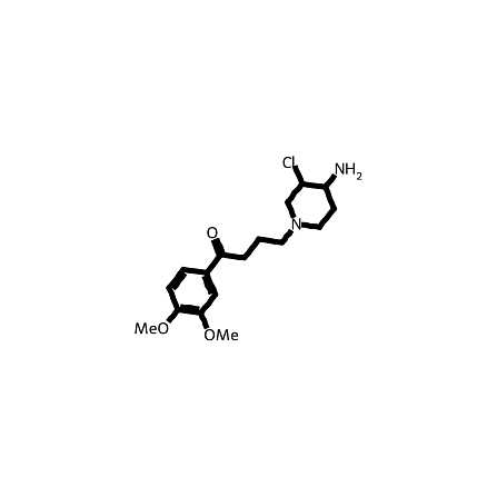 COc1ccc(C(=O)CCCN2CC[C](N)C(Cl)C2)cc1OC